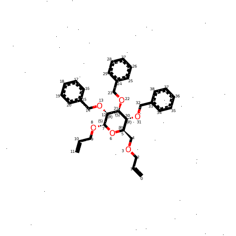 C=CCOC[C@H]1O[C@H](OCC=C)[C@H](OCc2ccccc2)[C@@H](OCc2ccccc2)[C@@H]1OCc1ccccc1